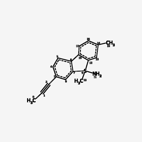 CC#Cc1ccc2c(c1)S(C)(N)c1cc(C)ccc1-2